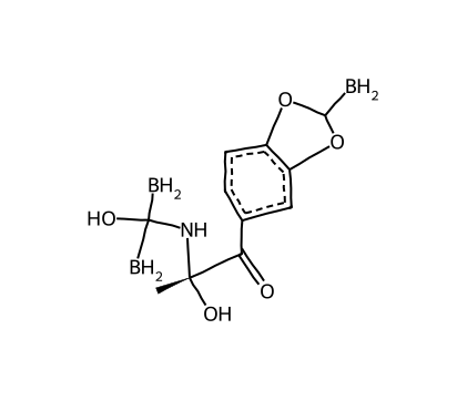 BC1Oc2ccc(C(=O)[C@](C)(O)NC(B)(B)O)cc2O1